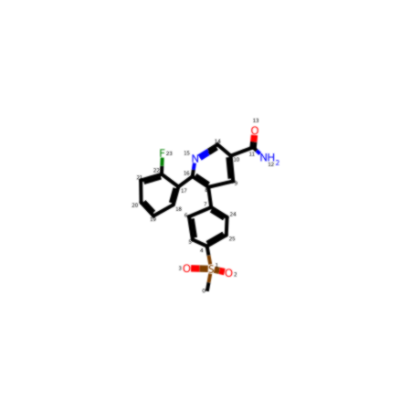 CS(=O)(=O)c1ccc(-c2cc(C(N)=O)cnc2-c2ccccc2F)cc1